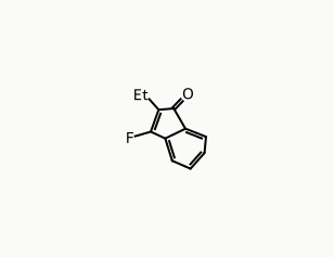 CCC1=C(F)c2ccccc2C1=O